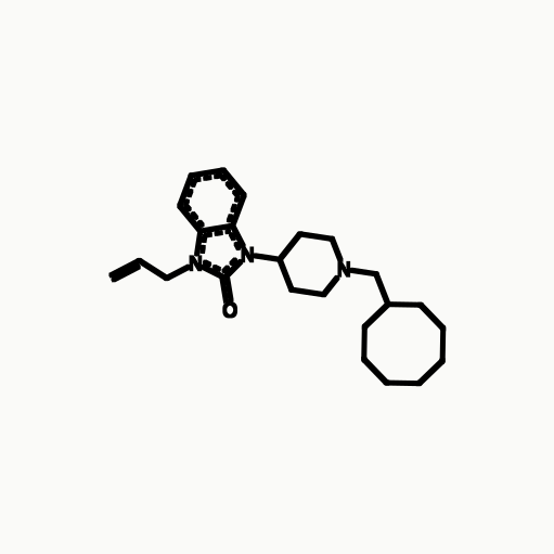 C=CCn1c(=O)n(C2CCN(CC3CCCCCCC3)CC2)c2ccccc21